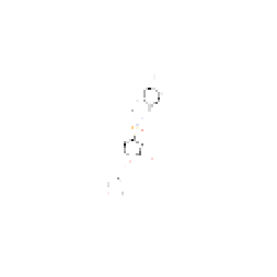 CCc1ccc2c(c1)CCN(S(=O)(=O)c1ccc(OCC3CCOCC3)c(CO)c1)C2